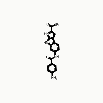 CC(C)C(=O)c1cc2c([nH]1)[nH]c1cc(NC(=O)c3ccc(N)cc3)ccc12